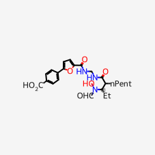 CCCCCC(C(=O)NCNC(=O)c1ccc(-c2ccc(C(=O)O)cc2)o1)[C@@H](CC)N(O)C=O